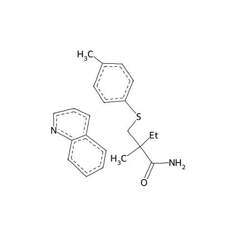 CCC(C)(CSc1ccc(C)cc1)C(N)=O.c1ccc2ncccc2c1